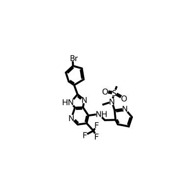 CN(c1ncccc1CNc1c(C(F)(F)F)cnc2[nH]c(-c3ccc(Br)cc3)nc12)S(C)(=O)=O